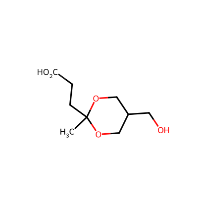 CC1(CCC(=O)O)OCC(CO)CO1